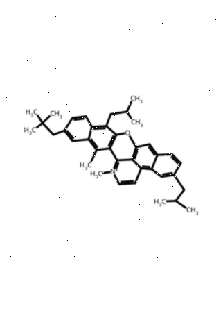 Cc1c2c(c(CC(C)C)c3ccc(CC(C)(C)C)cc13)Oc1cc3ccc(CC(C)C)cc3c3cc[n+](C)c-2c13